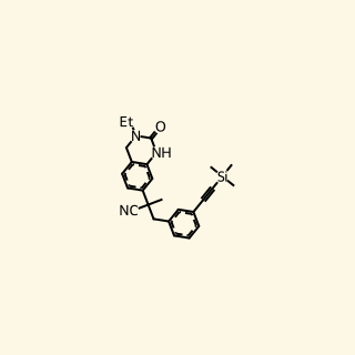 CCN1Cc2ccc(C(C)(C#N)Cc3cccc(C#C[Si](C)(C)C)c3)cc2NC1=O